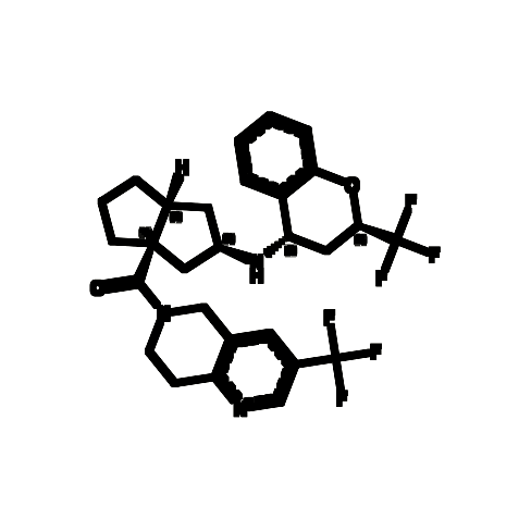 O=C(N1CCc2ncc(C(F)(F)F)cc2C1)[C@@]12CCC[C@@H]1C[C@@H](N[C@H]1C[C@H](C(F)(F)F)Oc3ccccc31)C2